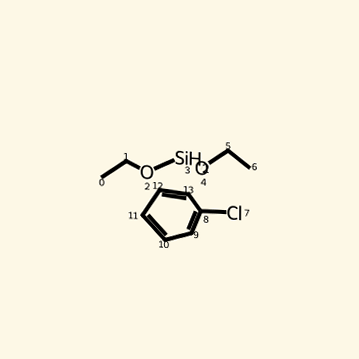 CCO[SiH2]OCC.Clc1ccccc1